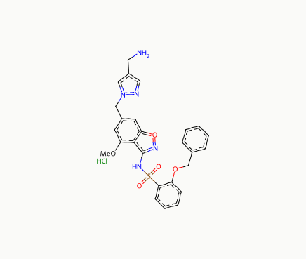 COc1cc(Cn2cc(CN)cn2)cc2onc(NS(=O)(=O)c3ccccc3OCc3ccccc3)c12.Cl